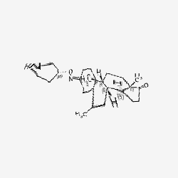 CC1C[C@@H]2[C@@H](CC[C@]3(C)C(=O)CC[C@@H]23)[C@@]2(C)CCC(=NO[C@@H]3CCNC3)CC12